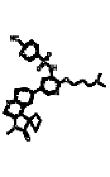 CN(C)CCCOc1ncc(-c2ccc3ncc4c(c3c2)C2(CCC2)C(=O)N4C)cc1NS(=O)(=O)c1ccc(C#N)nc1